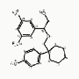 OC[C@@H](OCC1(c2ccc(O)cc2)CCCCC1)c1cc(C(F)(F)F)cc(C(F)(F)F)c1